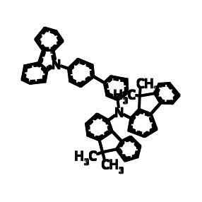 CC1(C)c2ccccc2-c2c(N(c3cccc(-c4ccc(-n5c6ccccc6c6ccccc65)cc4)c3)c3cccc4c3C(C)(C)c3ccccc3-4)cccc21